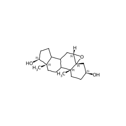 C[C@]12CCC3C(C[C@@H]4O[C@@]45C[C@@H](O)CC[C@]35C)C1CC[C@@H]2O